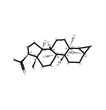 CC(=O)[C@H]1CC[C@H]2[C@@H]3CC[C@H]4C5C[C@@]5(O)CC[C@@H]4[C@H]3CC[C@]12C